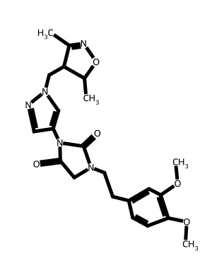 COc1ccc(CCN2CC(=O)N(c3cnn(CC4C(C)=NOC4C)c3)C2=O)cc1OC